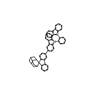 c1ccc2c(c1)-c1cc(-c3ccc4c(c3)c3ccccc3n4-c3ccccc3-n3c4ccccc4c4ccccc43)ccc1C21C2CC3CC(C2)CC1C3